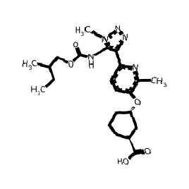 CCC(C)COC(=O)Nc1c(-c2ccc(O[C@H]3CCC[C@H](C(=O)O)C3)c(C)n2)nnn1C